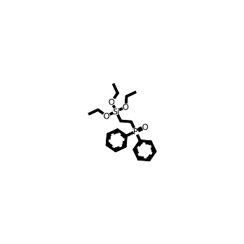 CCO[Si](CCP(=O)(c1ccccc1)c1ccccc1)(OCC)OCC